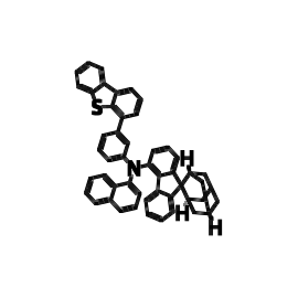 c1cc(-c2cccc3c2sc2ccccc23)cc(N(c2cccc3c2-c2ccccc2C32[C@H]3CC4C[C@H](C3)C[C@H]2C4)c2cccc3ccccc23)c1